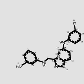 Oc1cccc(NCc2nnc3ccc(Nc4cccc(Cl)c4)nn23)c1